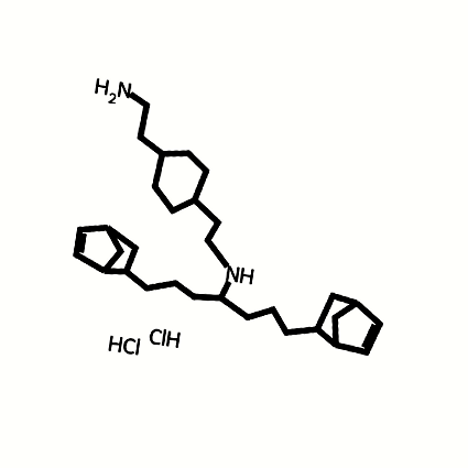 Cl.Cl.NCCC1CCC(CCNC(CCCC2CC3C=CC2C3)CCCC2CC3C=CC2C3)CC1